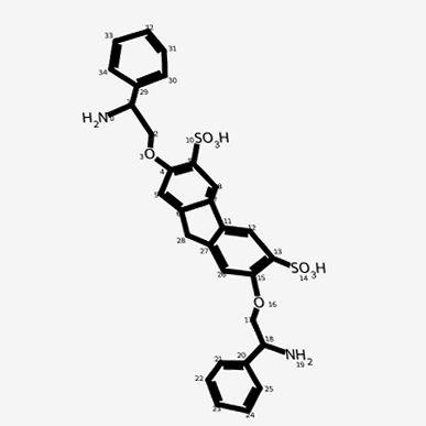 NC(COc1cc2c(cc1S(=O)(=O)O)-c1cc(S(=O)(=O)O)c(OCC(N)c3ccccc3)cc1C2)c1ccccc1